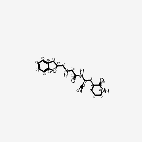 N#C[C@H](C[C@@H]1CCCNC1=O)NC(=O)CNCC1Cc2ccccc2O1